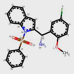 COc1ccc(F)cc1[C@H](N)c1cc2ccccc2n1S(=O)(=O)c1ccccc1